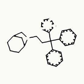 c1ccc(C(CCN2CC3CCCC2C3)(c2ccccc2)c2nnn[nH]2)cc1